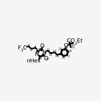 CCCCCCc1nn(CCCC(F)(F)F)c(=O)n(CCCCc2cccc(OC(C)(C)C(=O)OCC)c2)c1=O